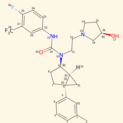 Cc1cccc([C@]23CC[C@@H](N(CCN4CC[C@@H](O)C4)C(=O)Nc4ccc(F)c(C(F)(F)F)c4)[C@H]2C3)c1